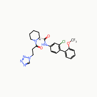 O=C(Nc1ccc(-c2ccccc2OC(F)(F)F)c(Cl)c1)[C@H]1CCCCN1C(=O)CCn1cnnn1